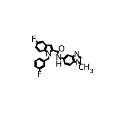 Cn1cnc2cc(NC(=O)c3cc4cc(F)ccc4n3Cc3cccc(F)c3)ccc21